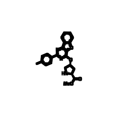 COC(=O)[C@@H]1C[C@@H](Oc2nc(-c3ccc(C)cc3)nc3c2oc2ccccc23)CN1